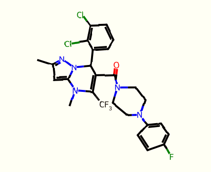 Cc1cc2n(n1)C(c1cccc(Cl)c1Cl)C(C(=O)N1CCN(c3ccc(F)cc3)CC1)=C(C(F)(F)F)N2C